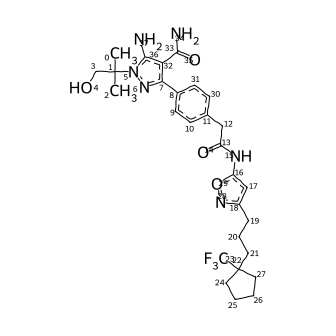 CC(C)(CO)n1nc(-c2ccc(CC(=O)Nc3cc(CCCC4(C(F)(F)F)CCCC4)no3)cc2)c(C(N)=O)c1N